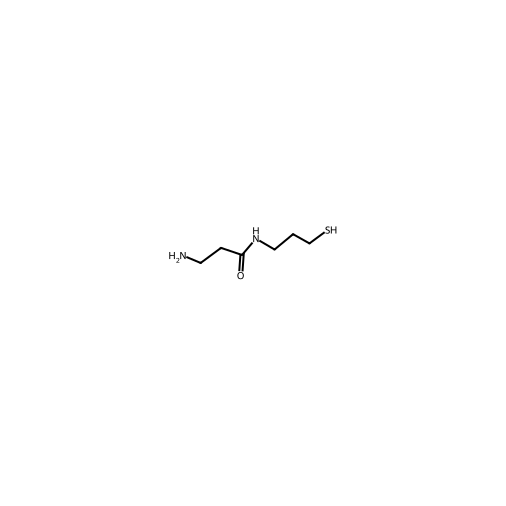 NCCC(=O)NCCCS